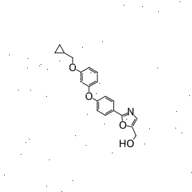 OCc1cnc(-c2ccc(Oc3cccc(OCC4CC4)c3)cc2)o1